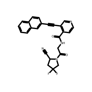 N#CC1CC(F)(F)CN1C(=O)CNC(=O)c1ccncc1C#Cc1ccc2ccccc2c1